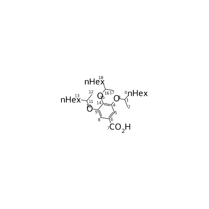 CCCCCCC(C)Oc1cc(C(=O)O)cc(OC(C)CCCCCC)c1OC(C)CCCCCC